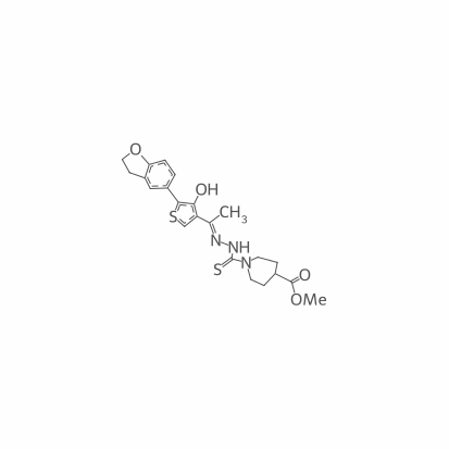 COC(=O)C1CCN(C(=S)N/N=C(\C)c2csc(-c3ccc4c(c3)CCO4)c2O)CC1